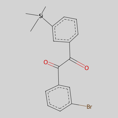 C[Si](C)(C)c1cccc(C(=O)C(=O)c2cccc(Br)c2)c1